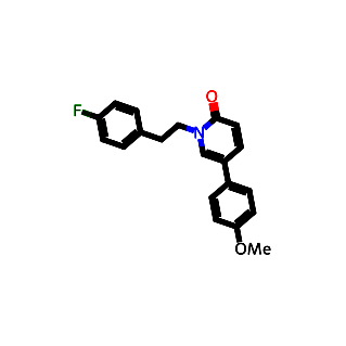 COc1ccc(-c2ccc(=O)n(CCc3ccc(F)cc3)c2)cc1